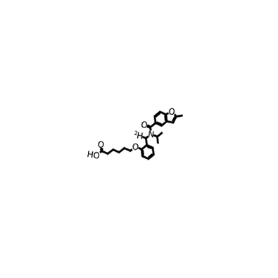 [2H]C(c1ccccc1OCCCCCC(=O)O)N(C(=O)c1ccc2oc(C)cc2c1)C(C)C